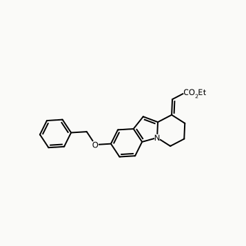 CCOC(=O)C=C1CCCn2c1cc1cc(OCc3ccccc3)ccc12